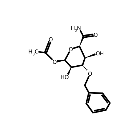 CC(=O)O[C@H]1O[C@@H](C(N)=O)[C@@H](O)[C@H](OCc2ccccc2)[C@H]1O